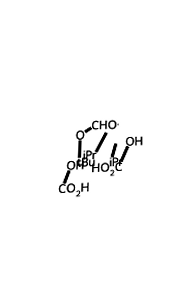 CC(C)(C)O[C]=O.CC(C)C.CC(C)C.O=C(O)O.O=C(O)O